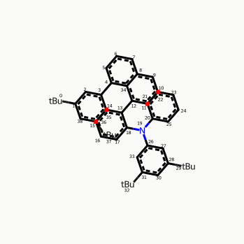 CC(C)(C)c1cc(-c2cccc3cccc(-c4ccccc4N(c4ccccc4)c4cc(C(C)(C)C)cc(C(C)(C)C)c4)c23)cc(C(C)(C)C)c1